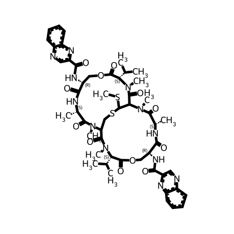 CSC1SCC2C(=O)N(C)[C@@H](C(C)C)C(=O)OC[C@@H](NC(=O)c3cnc4ccccc4n3)C(=O)N[C@@H](C)C(=O)N(C)C1C(=O)N(C)[C@@H](C(C)C)C(=O)OC[C@@H](NC(=O)c1cnc3ccccc3n1)C(=O)N[C@@H](C)C(=O)N2C